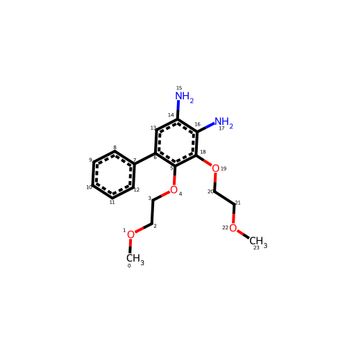 COCCOc1c(-c2ccccc2)cc(N)c(N)c1OCCOC